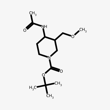 COCC1CN(C(=O)OC(C)(C)C)CCC1NC(C)=O